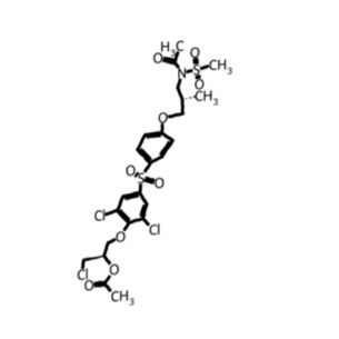 CC(=O)O[C@@H](CCl)COc1c(Cl)cc(S(=O)(=O)c2ccc(OC[C@@H](C)CN(C(C)=O)S(C)(=O)=O)cc2)cc1Cl